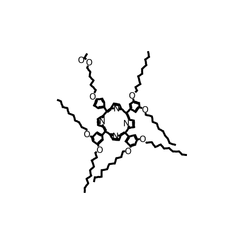 CCCCCCCCCCOc1cc(OCCCCCCCCCC)cc(C2=C3C=CC(=N3)C(c3cc(OCCCCCCCCCC)cc(OCCCCCCCCCC)c3)=C3C=CC(=N3)C(c3cc(OCCCCCCCCCC)cc(OCCCCCCCCCC)c3)=C3C=CC(=N3)C(c3ccc(OCCCCCCOC(C)=O)cc3)=C3C=CC2=N3)c1